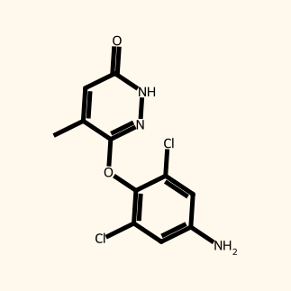 Cc1cc(=O)[nH]nc1Oc1c(Cl)cc(N)cc1Cl